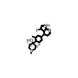 Cc1cc(-c2ccnc3[nH]cc(F)c23)cc(F)c1C1(O)[C@H](C)CN(C)C[C@@H]1C